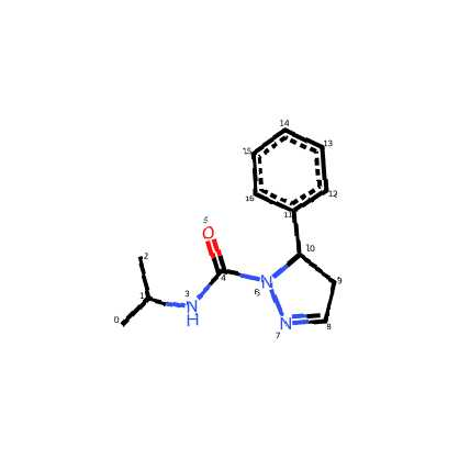 CC(C)NC(=O)N1N=CCC1c1ccccc1